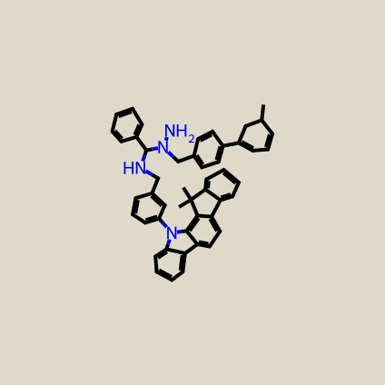 CC1C=CC=C(c2ccc(CN(N)C(NCc3cccc(-n4c5ccccc5c5ccc6c(c54)C(C)(C)c4ccccc4-6)c3)c3ccccc3)cc2)C1